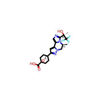 C[C@H]1Cn2nc(C34CCC(C(=O)O)(CC3)OC4)cc2-c2cnc([C@@](C)(O)C(F)(F)F)n21